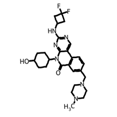 CN1CCN(Cc2ccc3c(c2)c(=O)n(C2CCC(O)CC2)c2nc(NC4CC(F)(F)C4)ncc32)CC1